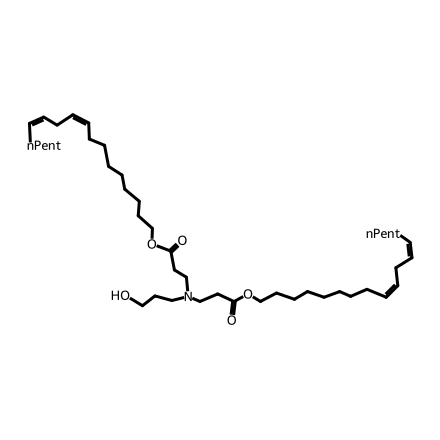 CCCCC/C=C\C/C=C\CCCCCCCCOC(=O)CCN(CCCO)CCC(=O)OCCCCCCCC/C=C\C/C=C\CCCCC